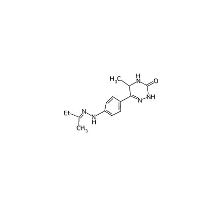 CCC(C)=NNc1ccc(C2=NNC(=O)NC2C)cc1